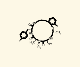 CCC[C@@H]1NC[C@@H](C)Oc2c(F)cccc2CCCNC(=O)[C@@H](Cc2ccc(F)cc2)NC(=O)[C@@H](C)N(C)C1=O